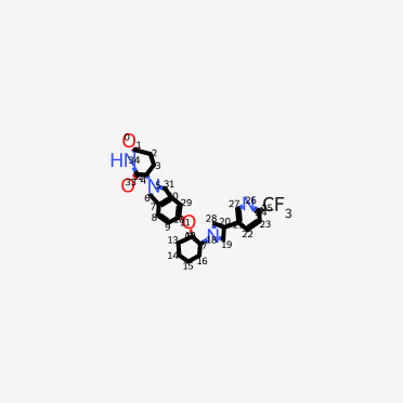 O=C1CCC(N2Cc3ccc(O[C@@H]4CCCCC4N4CC(c5ccc(C(F)(F)F)nc5)C4)cc3C2)C(=O)N1